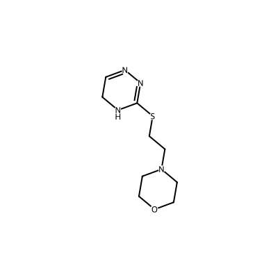 C1=NN=C(SCCN2CCOCC2)NC1